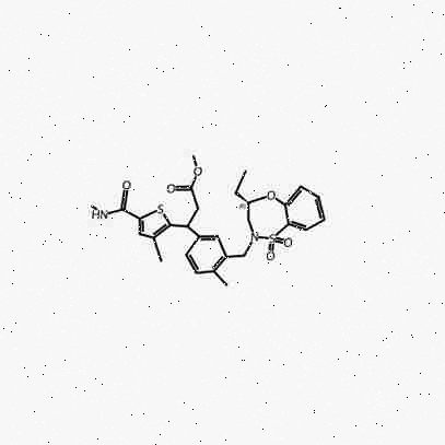 CC[C@@H]1CN(Cc2cc(C(CC(=O)OC)c3sc(C(=O)NC)cc3C)ccc2C)S(=O)(=O)c2ccccc2O1